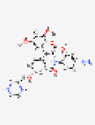 COC(=O)c1c(-c2cc(OC)c(C)c(OC)c2)c2ccc(OCc3cnccn3)cc2c(=O)n1-c1ccc(N)cc1